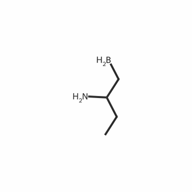 BCC(N)CC